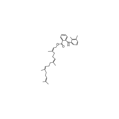 CC(C)=CCCC(C)=CCCC(C)=CCCC(C)=CCOC(=O)c1ccccc1Nc1cccc(C)c1C